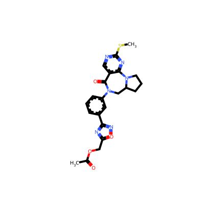 CSc1ncc2c(n1)N1CCCC1CN(c1cccc(-c3noc(COC(C)=O)n3)c1)C2=O